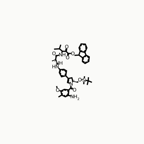 COc1cc(C(=O)N2C=C(c3ccc(NN[C@@H](C)C(=O)NC(C(=O)C(=O)OCC4c5ccccc5-c5ccccc54)C(C)C)cc3)C[C@H]2CO[Si](C)(C)C(C)(C)C)c(N)cc1C